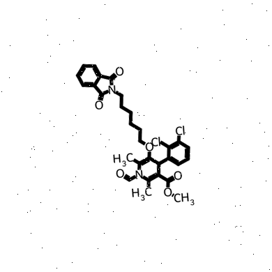 COC(=O)C1=C(C)N(C=O)C(C)=C(OCCCCCCN2C(=O)c3ccccc3C2=O)C1c1cccc(Cl)c1Cl